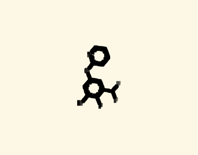 Fc1c(Br)cc(Oc2ccccn2)cc1C(F)F